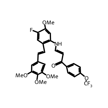 COc1cc(NC=CC(=O)c2ccc(OC(F)(F)F)cc2)c(C=Cc2cc(OC)c(OC)c(OC)c2)cc1F